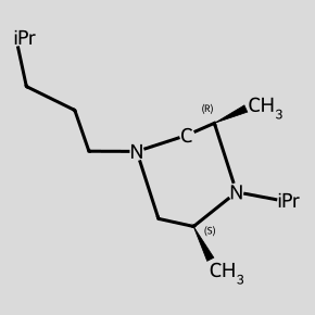 CC(C)CCCN1C[C@@H](C)N(C(C)C)[C@@H](C)C1